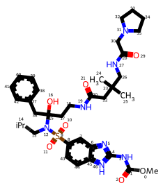 COC(=O)Nc1nc2cc(S(=O)(=O)N(CC(C)C)C(O)(CCNC(=O)CC(C)(C)CNC(=O)CN3CCCC3)Cc3ccccc3)ccc2[nH]1